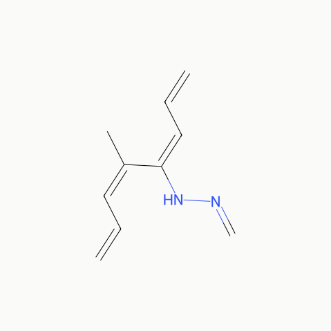 C=C/C=C(C)\C(=C/C=C)NN=C